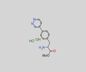 COC(=O)C(N)Cc1ccc(-c2ccnnc2)cc1.Cl.Cl